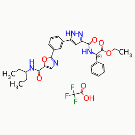 CCOC(=O)[C@H](NC(=O)c1cc(-c2cccc(-c3ncc(C(=O)NC(CC)CC)o3)c2)[nH]n1)c1ccccc1.O=C(O)C(F)(F)F